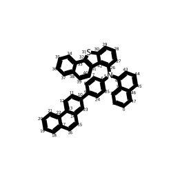 c1ccc2c(N(c3ccc(-c4ccc5c(ccc6ccccc65)c4)cc3)c3cccc4sc5c6ccccc6ccc5c34)cccc2c1